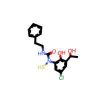 CC(O)c1cc(Cl)cc(N(S)C(=O)NCCc2ccccc2)c1O